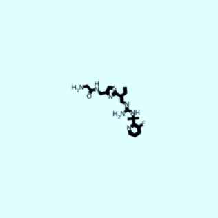 C=C/C(=C\N=C(/N)NC(C)(C)c1ncccc1F)c1nc(CNC(=O)CN)cs1